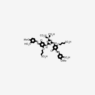 COc1ccc(N=Nc2cc(OCCCS(=O)(=O)O)c(Nc3nc(Nc4cc(Cl)c(N=Nc5ccc(OC)c(S(=O)(=O)O)c5)cc4OCCCS(=O)(=O)O)nc(N(CC(=O)O)CC(=O)O)n3)cc2Cl)cc1S(=O)(=O)O